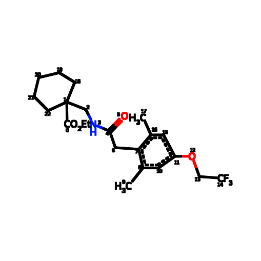 CCOC(=O)C1(CNC(=O)Cc2c(C)cc(OCC(F)(F)F)cc2C)CCCCC1